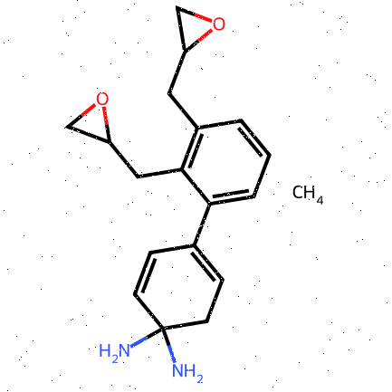 C.NC1(N)C=CC(c2cccc(CC3CO3)c2CC2CO2)=CC1